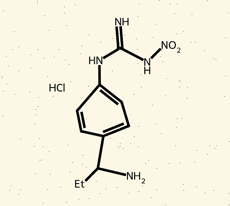 CCC(N)c1ccc(NC(=N)N[N+](=O)[O-])cc1.Cl